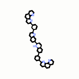 C1=CC(c2ccc3ccc(C4C=Cc5ccc(-c6cccc(-c7ccc8ccc9cccnc9c8n7)c6)cc5N4)cc3n2)CC(c2ccc3ccc4cccnc4c3n2)=C1